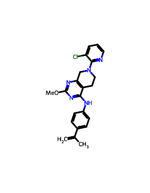 C=C(C)c1ccc(Nc2nc(OC)nc3c2CCN(c2ncccc2Cl)C3)cc1